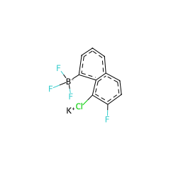 Fc1ccc2cccc([B-](F)(F)F)c2c1Cl.[K+]